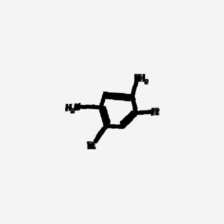 CCc1cc(CC)c(N)cc1N